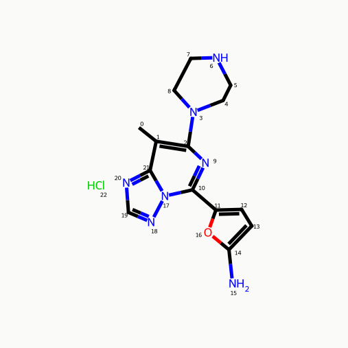 Cc1c(N2CCNCC2)nc(-c2ccc(N)o2)n2ncnc12.Cl